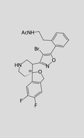 CC(=O)NCCc1ccccc1-c1onc(C2CNCC[C@@]23OCc2cc(F)c(F)cc23)c1Br